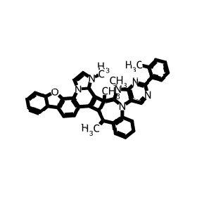 Cc1ccccc1-c1ncc2c(n1)N(C)C1N2C2=C(C=CCC2)C(C)C2C3=C(C4N(C)C=CN4c4c3ccc3c4OC4C=CC#CC34)C21C